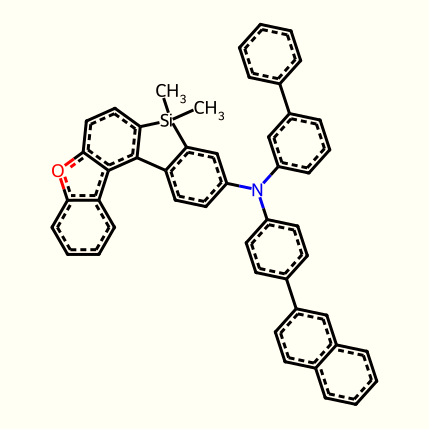 C[Si]1(C)c2cc(N(c3ccc(-c4ccc5ccccc5c4)cc3)c3cccc(-c4ccccc4)c3)ccc2-c2c1ccc1oc3ccccc3c21